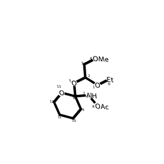 CCOC(COC)O[C]1([AlH][O]C(C)=O)CCCCO1